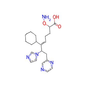 NOC(CC/C=C(\C1CCCCC1)C(Cc1cnccn1)n1ccnc1)C(=O)O